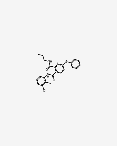 CCCNC(=O)c1nc(Sc2ccccc2)ccc1C(=O)Nc1cccc(Cl)c1C